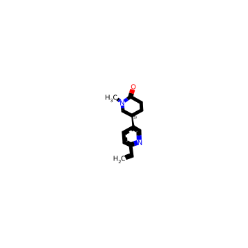 C=Cc1ccc([C@@H]2CCC(=O)N(C)C2)cn1